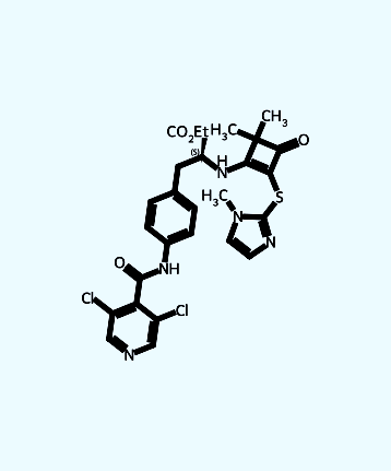 CCOC(=O)[C@H](Cc1ccc(NC(=O)c2c(Cl)cncc2Cl)cc1)NC1=C(Sc2nccn2C)C(=O)C1(C)C